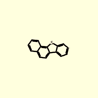 [c]1ccc2c(c1)sc1c3ccccc3ccc21